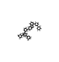 c1ccc(-c2cccc(-c3cccc4c3oc3ccc(-c5cccc(-c6nc(-c7ccccc7)nc(-c7ccccc7)n6)c5)cc34)c2)cc1